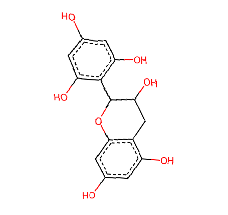 Oc1cc(O)c(C2Oc3cc(O)cc(O)c3CC2O)c(O)c1